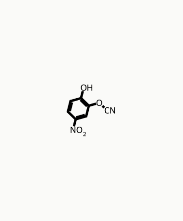 N#COc1cc([N+](=O)[O-])ccc1O